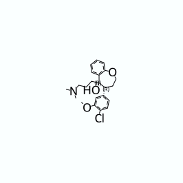 COc1cc([C@H]2CCOc3ccccc3[C@@]2(O)CCCN(C)C)ccc1Cl